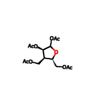 CC(=O)OC[C@@H]1[C@@H](COC(C)=O)OC(OC(C)=O)[C@@H]1OC(C)=O